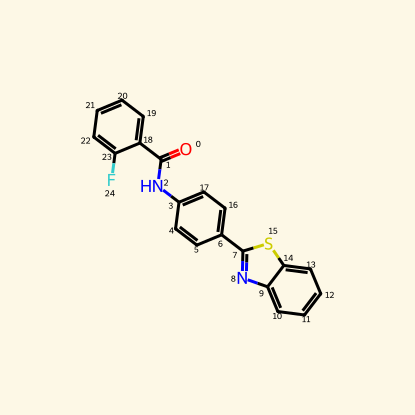 O=C(Nc1ccc(-c2nc3ccccc3s2)cc1)c1ccccc1F